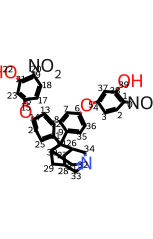 O=[N+]([O-])c1ccc(Oc2ccc(C3(c4ccc(Oc5ccc([N+](=O)[O-])c(O)c5)cc4)C4CC5CC3CN(C5)C4)cc2)cc1O